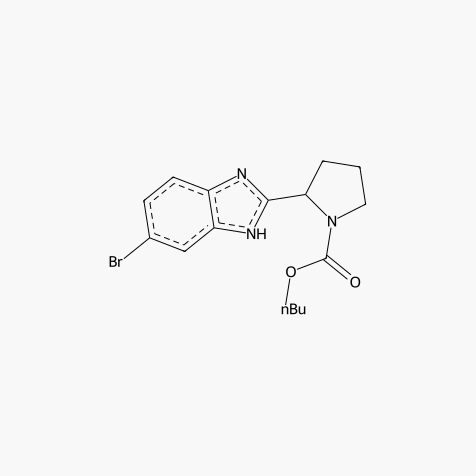 CCCCOC(=O)N1CCCC1c1nc2ccc(Br)cc2[nH]1